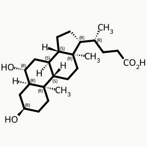 C[C@H](CCC(=O)O)[C@H]1CC[C@H]2[C@@H]3C[C@@H](O)[C@@H]4C[C@H](O)CC[C@]4(C)[C@H]3CC[C@]12C